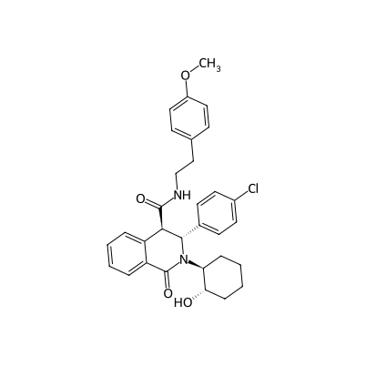 COc1ccc(CCNC(=O)[C@@H]2c3ccccc3C(=O)N([C@H]3CCCC[C@@H]3O)[C@H]2c2ccc(Cl)cc2)cc1